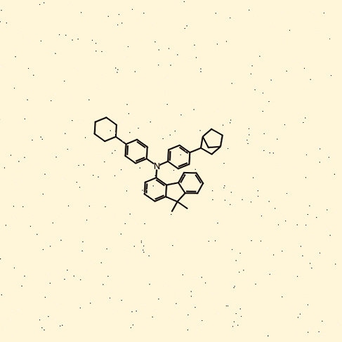 CC1(C)c2ccccc2-c2c(N(c3ccc(C4CCCCC4)cc3)c3ccc(C4CC5CCC4C5)cc3)cccc21